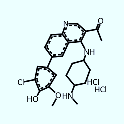 CNC1CCC(Nc2c(C(C)=O)cnc3ccc(-c4cc(Cl)c(O)c(OC)c4)cc23)CC1.Cl.Cl